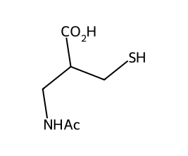 CC(=O)NCC(CS)C(=O)O